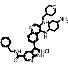 Cl.NC1CCC(Nc2c(NCC3CCOCC3)cnc3ccc(-c4c[nH]c5ncc(C(=O)NCc6cccnc6)cc45)cc23)CC1